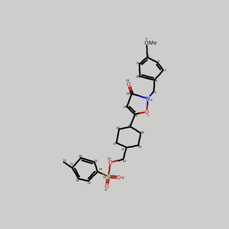 COc1ccc(Cn2oc(C3CCC(COS(=O)(=O)c4ccc(C)cc4)CC3)cc2=O)cc1